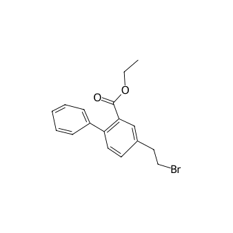 CCOC(=O)c1cc(CCBr)ccc1-c1ccccc1